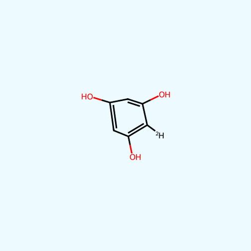 [2H]c1c(O)cc(O)cc1O